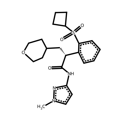 Cn1ccc(NC(=O)[C@H](CC2CCOCC2)c2ccccc2S(=O)(=O)C2CCC2)n1